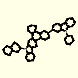 c1ccc(-n2c3ccccc3c3ccc(-c4ccc5c(c4)c4ccccc4c4cc6c(cc54)c4ccccc4n6-c4ccc5ccccc5c4)cc32)cc1